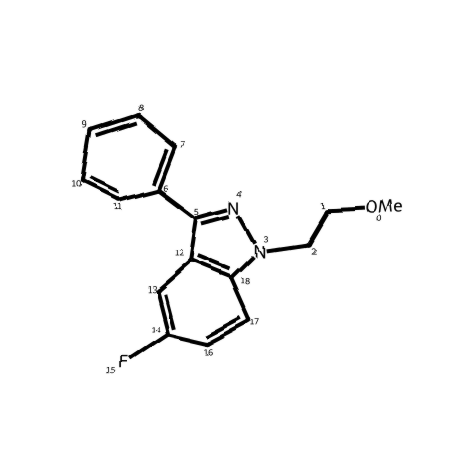 COCCn1nc(-c2ccccc2)c2cc(F)ccc21